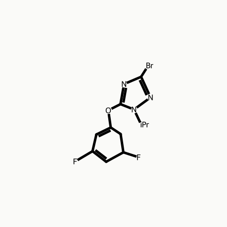 CC(C)n1nc(Br)nc1OC1=CC(F)=CC(F)C1